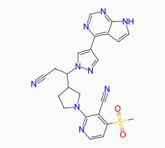 CS(=O)(=O)c1ccnc(N2CCC(C(CC#N)n3cc(-c4ncnc5[nH]ccc45)cn3)C2)c1C#N